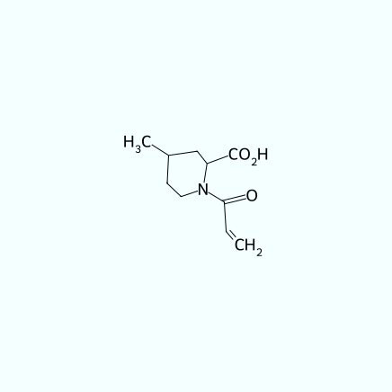 C=CC(=O)N1CCC(C)CC1C(=O)O